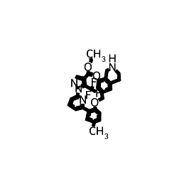 CCOC(=O)c1cnn(-c2cccc(-c3cc(C)ccc3OCc3ccc4c(c3)CCNC4)n2)c1C(F)(F)F